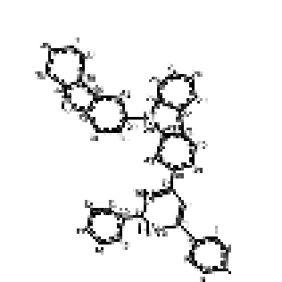 C1=C(c2ccccc2)NC(c2ccccc2)N=C1c1ccc2c3ccccc3n(-c3ccc4oc5ccccc5c4c3)c2c1